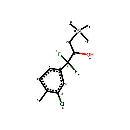 Cc1ccc(C(F)(F)C(O)C[Si](C)(C)C)cc1Cl